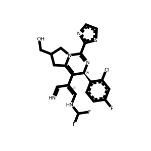 N=C/C(=C\NC(F)F)C1=C2CC(CO)CN2C(c2nccs2)=N[C@H]1c1ccc(F)cc1Cl